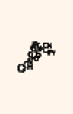 CC(C)CC(C#N)NC(=O)C(CC(C)C)OC(=O)NCc1ccccc1